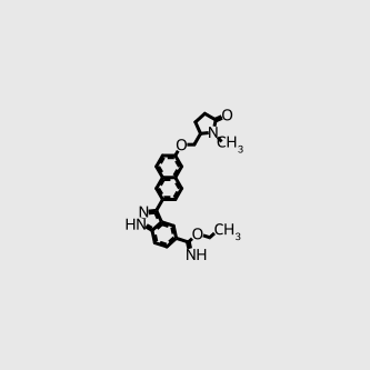 CCOC(=N)c1ccc2[nH]nc(-c3ccc4cc(OCC5CCC(=O)N5C)ccc4c3)c2c1